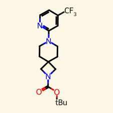 CC(C)(C)OC(=O)N1CC2(CCN(c3cc(C(F)(F)F)ccn3)CC2)C1